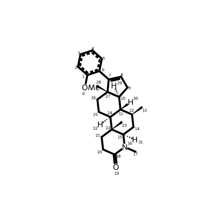 COc1ccccc1C1=CC[C@H]2[C@@H]3[C@@H](C)C[C@H]4N(C)C(=O)CC[C@]4(C)[C@H]3CC[C@]12C